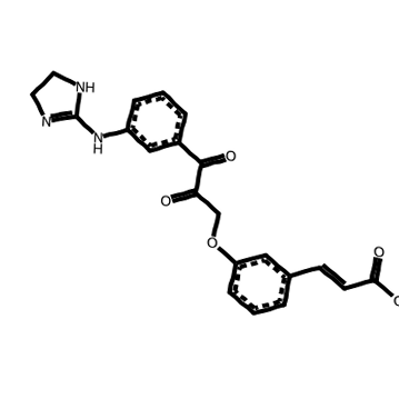 O=C(O)C=Cc1cccc(OCC(=O)C(=O)c2cccc(NC3=NCCN3)c2)c1